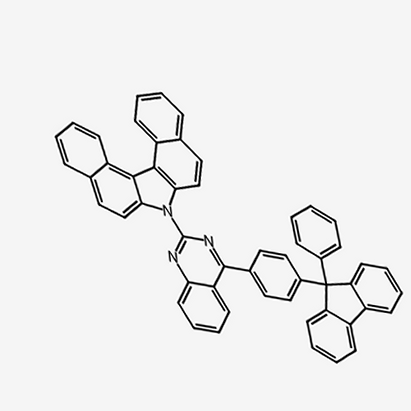 c1ccc(C2(c3ccc(-c4nc(-n5c6ccc7ccccc7c6c6c7ccccc7ccc65)nc5ccccc45)cc3)c3ccccc3-c3ccccc32)cc1